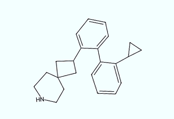 c1ccc(C2CC2)c(-c2ccccc2C2CC3(CCNCC3)C2)c1